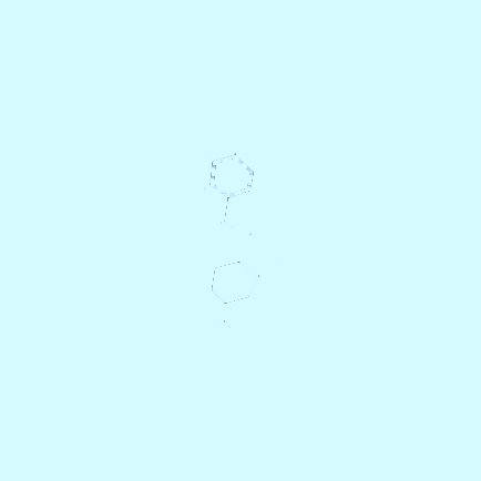 C[C@@H]1C[C@H](O)CC[C@@H]1OCc1ccccc1